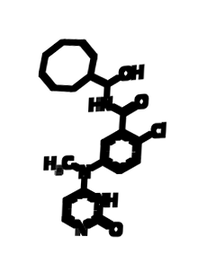 CN(c1ccc(Cl)c(C(=O)NC(O)C2CCCCCCC2)c1)c1ccnc(=O)[nH]1